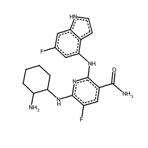 NC(=O)c1cc(F)c(NC2CCCCC2N)nc1Nc1cc(F)cc2[nH]ccc12